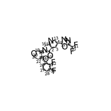 O=C1c2cc(-c3nnc(C(F)F)o3)cnc2CN1[C@@H]1COCC[C@H]1Oc1cccc(F)c1F